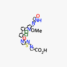 COc1nc(-c2cccc(-c3cccc(Oc4nccc5sc(CN6CCCC(C(=O)O)C6)nc45)c3Cl)c2Cl)ccc1CN1CC2(CCC(=O)N2)C1